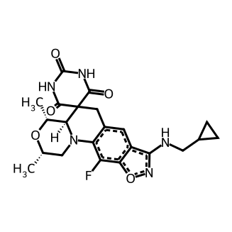 C[C@H]1CN2c3c(cc4c(NCC5CC5)noc4c3F)CC3(C(=O)NC(=O)NC3=O)[C@@H]2[C@@H](C)O1